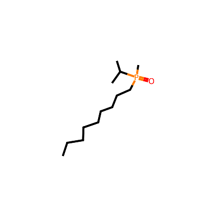 CCCCCCCCCP(C)(=O)C(C)C